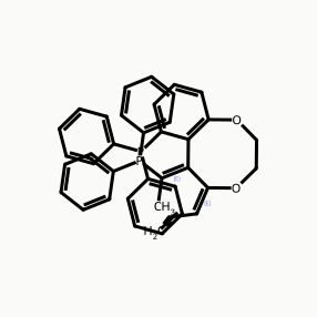 C=C/C=C1/OCCOc2cccc(P(c3ccccc3)c3ccccc3)c2/C1=C(/C)P(c1ccccc1)c1ccccc1